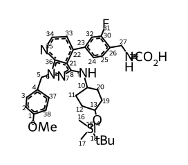 COc1ccc(Cn2nc(NC3CCC(O[Si](C)(C)C(C)(C)C)CC3)c3c(-c4ccc(CNC(=O)O)c(F)c4)ccnc32)cc1